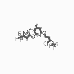 Cc1cc(OC/C=C(\Cl)SC(F)(F)F)nc(Oc2cc(C(F)(F)F)nn2C)c1